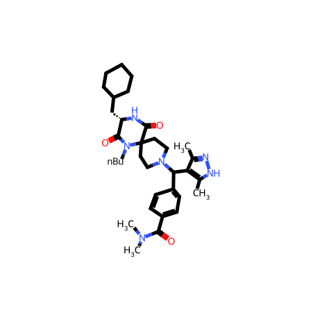 CCCCN1C(=O)[C@H](CC2CCCCC2)NC(=O)C12CCN(C(c1ccc(C(=O)N(C)C)cc1)c1c(C)n[nH]c1C)CC2